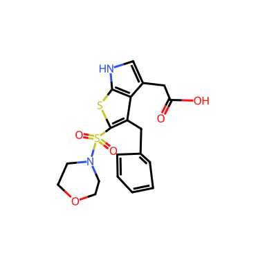 O=C(O)Cc1c[nH]c2sc(S(=O)(=O)N3CCOCC3)c(Cc3ccccc3)c12